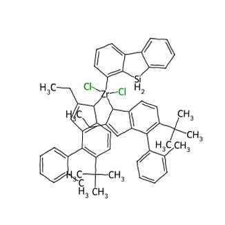 CCC1=Cc2c(ccc(C(C)(C)C)c2-c2ccccc2C)[CH]1[Zr]([Cl])([Cl])([c]1cccc2c1[SiH2]c1ccccc1-2)[CH]1C(CC)=Cc2c1ccc(C(C)(C)C)c2-c1ccccc1C